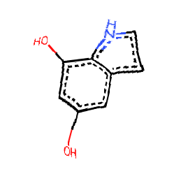 Oc1cc(O)c2[nH]ccc2c1